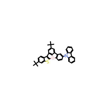 CC(C)(C)c1cc2c3c(c1)-c1c(sc4cc(C(C)(C)C)ccc14)B3c1ccc(-n3c4ccccc4c4ccccc43)cc1-2